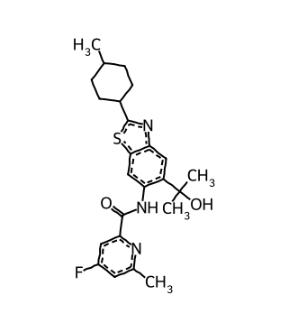 Cc1cc(F)cc(C(=O)Nc2cc3sc(C4CCC(C)CC4)nc3cc2C(C)(C)O)n1